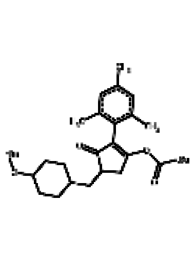 Cc1cc(C)c(C2=C(OC(=O)C(C)(C)C)CC(CC3CCC(OC(C)(C)C)CC3)C2=O)c(C)c1